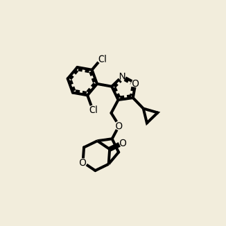 O=C1C2COCC1C(OCc1c(-c3c(Cl)cccc3Cl)noc1C1CC1)C2